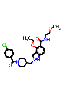 CCOc1c(C(=O)NCCOC)ccc2nn(CC3CCN(C(=O)c4ccc(Cl)cc4)CC3)cc12